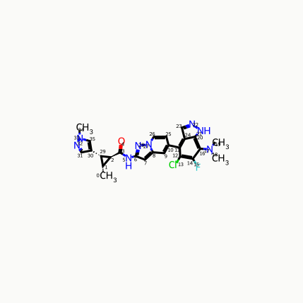 C[C@H]1[C@H](C(=O)Nc2cc3cc(-c4c(Cl)c(F)c(N(C)C)c5[nH]ncc45)ccn3n2)[C@H]1c1cnn(C)c1